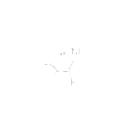 CN.Cc1cccc(F)c1F